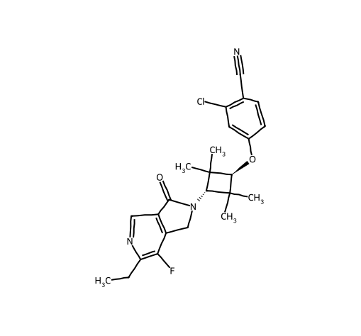 CCc1ncc2c(c1F)CN([C@H]1C(C)(C)[C@H](Oc3ccc(C#N)c(Cl)c3)C1(C)C)C2=O